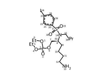 CCOP(=O)(OCC)OC[C@H](CCCCN)N(CC(C)C)S(=O)(=O)c1ccc(I)cc1